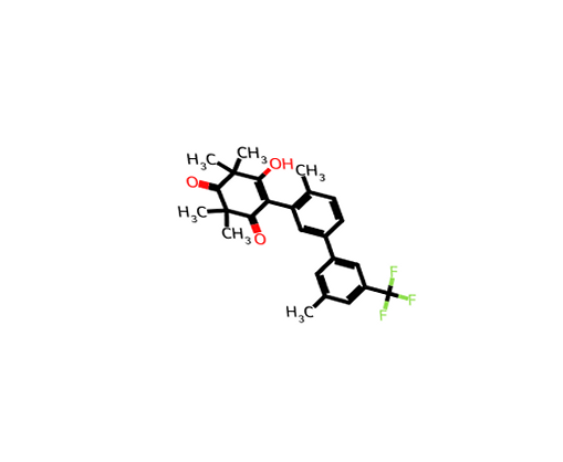 Cc1cc(-c2ccc(C)c(C3=C(O)C(C)(C)C(=O)C(C)(C)C3=O)c2)cc(C(F)(F)F)c1